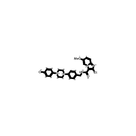 CCc1nc2ccc(OC)cn2c1C(=O)NCc1ccc(N2CCN(c3ccc(Cl)cc3)CC2)cc1